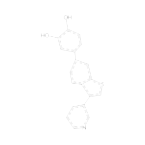 Oc1ccc(-c2ccc3c(-c4cccnc4)csc3c2)cc1O